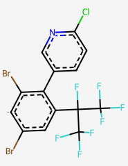 FC(F)(F)C(F)(c1cc(Br)[c]c(Br)c1-c1ccc(Cl)nc1)C(F)(F)F